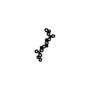 c1ccc(N(c2ccc3c(c2)oc2ccccc23)c2ccc3c(c2)oc2cc4c(cc23)oc2cc3c(cc24)oc2cc(N(c4ccccc4)c4ccc5c(c4)oc4ccccc45)ccc23)cc1